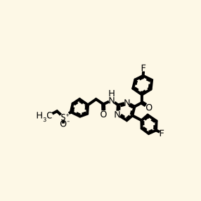 CC[S+]([O-])c1ccc(CC(=O)Nc2ncc(-c3ccc(F)cc3)c(C(=O)c3ccc(F)cc3)n2)cc1